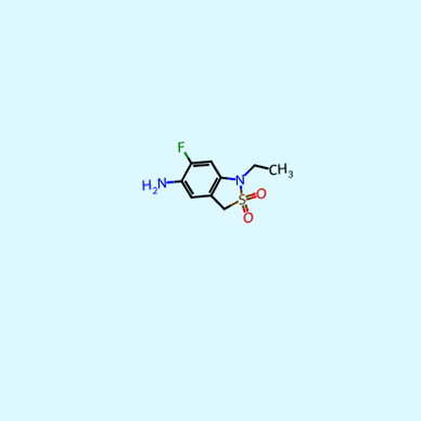 CCN1c2cc(F)c(N)cc2CS1(=O)=O